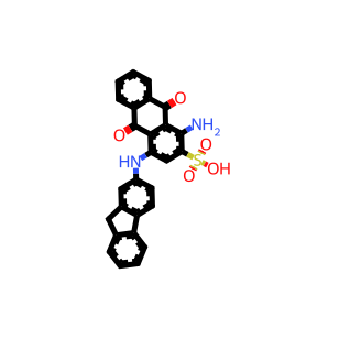 Nc1c(S(=O)(=O)O)cc(Nc2ccc3c(c2)Cc2ccccc2-3)c2c1C(=O)c1ccccc1C2=O